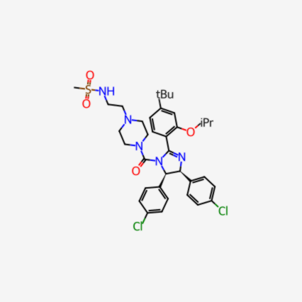 CC(C)Oc1cc(C(C)(C)C)ccc1C1=N[C@@H](c2ccc(Cl)cc2)[C@@H](c2ccc(Cl)cc2)N1C(=O)N1CCN(CCNS(C)(=O)=O)CC1